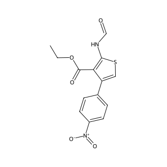 CCOC(=O)c1c(-c2ccc([N+](=O)[O-])cc2)csc1NC=O